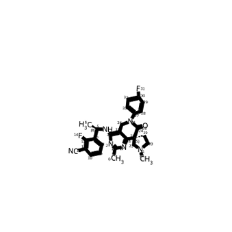 Cc1nc(N[C@H](C)c2cccc(C#N)c2F)c2c(n1)[C@@]1(CCN(C)C1)C(=O)N(c1ccc(F)cc1)C2